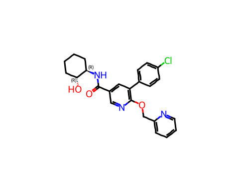 O=C(N[C@@H]1CCCC[C@H]1O)c1cnc(OCc2ccccn2)c(-c2ccc(Cl)cc2)c1